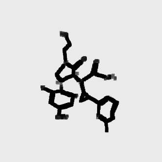 COc1cc(F)c([C@@H]2CN(CCO)C(=O)[C@H]2N(C(N)=O)C2CC2c2cccc(C)n2)c(F)c1